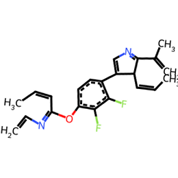 C=C/N=C(\C=C/C)Oc1ccc(C2=CN=C(C(=C)C)C2/C=C\C)c(F)c1F